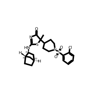 CC1(C2CCN(S(=O)(=O)c3ccccc3Cl)CC2)SC(N[C@H]2C[C@H]3CC[C@H]2C3)=NC1=O